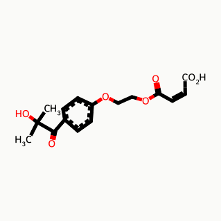 CC(C)(O)C(=O)c1ccc(OCCOC(=O)/C=C\C(=O)O)cc1